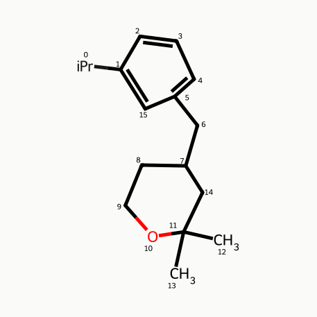 CC(C)c1cccc(CC2CCOC(C)(C)C2)c1